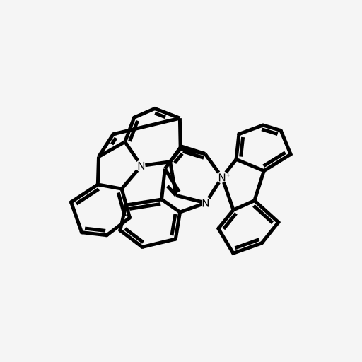 c1ccc2c(c1)-c1ccccc1[N+]21c2cc3c4ccccc4n1c3c1c2-c2ccc3c(c2)c2ccccc2n3-1